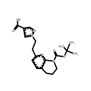 CC(C)(C)OC(=O)N1CCCc2ccc(CCn3cc(C(=O)O)cn3)nc21